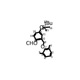 Cc1cccc(C)c1OCc1cc(O[Si](C)(C)C(C)(C)C)ccc1C=O